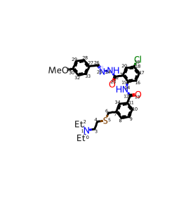 CCN(CC)CCSCc1cccc(C(=O)Nc2ccc(Cl)cc2C(=O)N/N=C/c2ccc(OC)cc2)c1